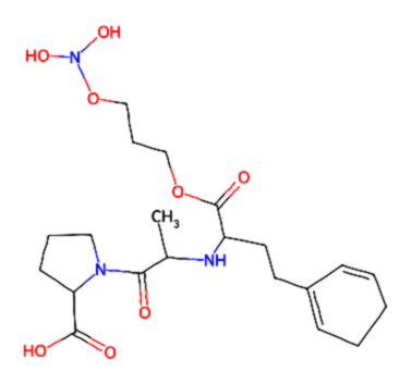 CC(NC(CCC1=CCCC=C1)C(=O)OCCCON(O)O)C(=O)N1CCCC1C(=O)O